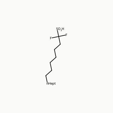 CCCCCCCCCCCCCC(F)(F)S(=O)(=O)O